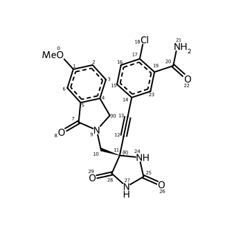 COc1ccc2c(c1)C(=O)N(C[C@@]1(C#Cc3ccc(Cl)c(C(N)=O)c3)NC(=O)NC1=O)C2